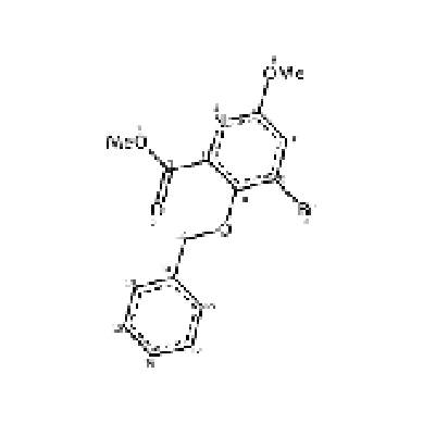 COC(=O)c1nc(OC)cc(Br)c1OCc1ccccc1